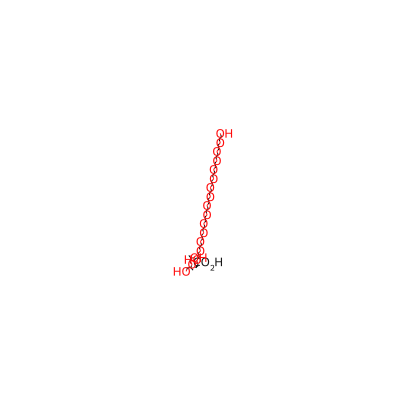 C=CC(=O)O.CC(O)COC(C)CO.OCCOCCOCCOCCOCCOCCOCCOCCOCCOCCOCCOCCOCCOCCO